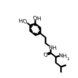 CC(C)CC(N)C(=O)NCCc1ccc(O)c(O)c1